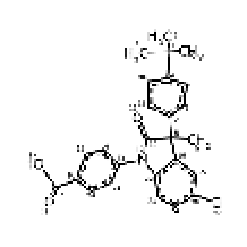 CC(C)(C)c1ccc(C2(C)C(=O)N(c3ccc(C(=O)O)cc3)c3ccc(Cl)cc32)cc1